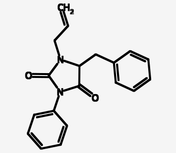 C=CCN1C(=O)N(c2ccccc2)C(=O)C1Cc1ccccc1